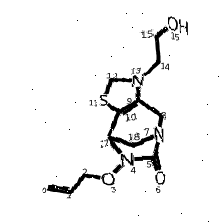 C=CCON1C(=O)N2CC3=C(SCN3CCO)C1C2